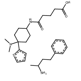 CC(N)CCc1ccccc1.CN(C)C1(c2cccs2)CCC(NC(=O)CCCC(=O)O)CC1